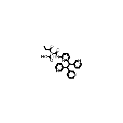 CCC(=O)N(C(=O)O)C(=O)Nc1cccc(C(c2cccnc2)C(c2cccnc2)c2cccnc2)n1